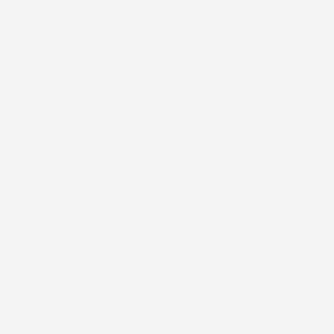 Clc1cc(-c2ccccc2)cc(-c2cc(-c3ccccc3)cc(-c3ccccc3)c2)c1